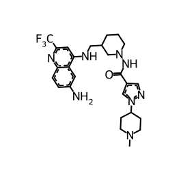 CN1CCC(n2cc(C(=O)NN3CCCC(CNc4cc(C(F)(F)F)nc5ccc(N)cc45)C3)cn2)CC1